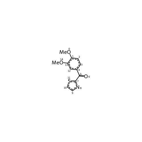 COc1ccc(C(=O)c2nccs2)cc1OC